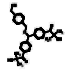 CC(C)(O)C(=O)c1ccc(C(OCc2ccc(CO)cc2)c2ccc(C(=O)C(C)(C)O)cc2)cc1